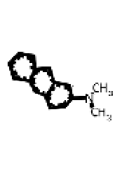 CN(C)c1[c]c2cc3ccccc3cc2cc1